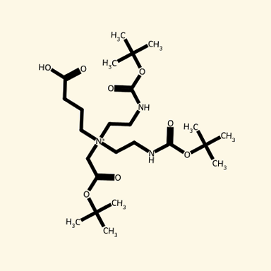 CC(C)(C)OC(=O)C[N+](CCCC(=O)O)(CCNC(=O)OC(C)(C)C)CCNC(=O)OC(C)(C)C